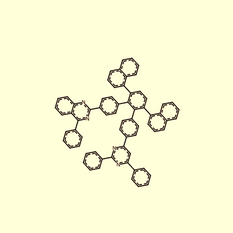 c1ccc(-c2cc(-c3ccc(-c4c(-c5cccc6ccccc56)ccc(-c5cccc6ccccc56)c4-c4ccc(-c5nc(-c6ccccc6)c6ccccc6n5)cc4)cc3)nc(-c3ccccc3)n2)cc1